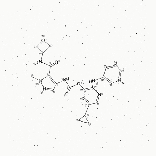 CN(C(=O)c1c(NC(=O)Oc2nc(C3CC3)cnc2Nc2cncnc2)cnn1C)C1COC1